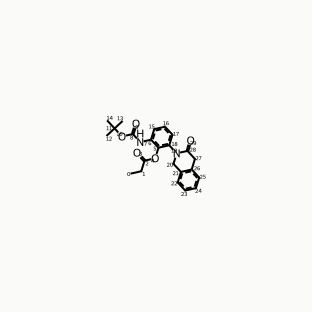 CCC(=O)Oc1c(NC(=O)OC(C)(C)C)cccc1N1Cc2ccccc2CC1=O